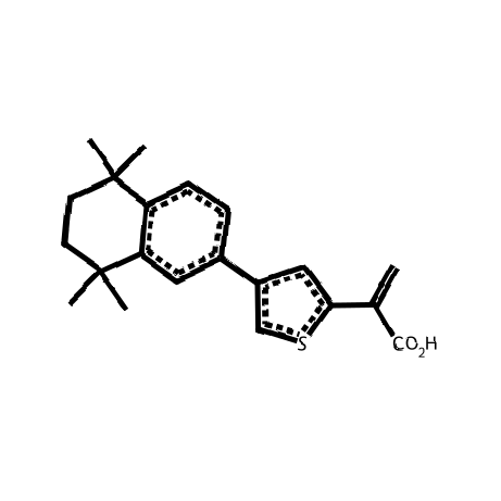 C=C(C(=O)O)c1cc(-c2ccc3c(c2)C(C)(C)CCC3(C)C)cs1